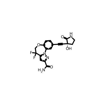 NC(=O)c1cc2n(n1)-c1cc(C#C[C@]3(O)CCNC3=O)ccc1OCC2(F)F